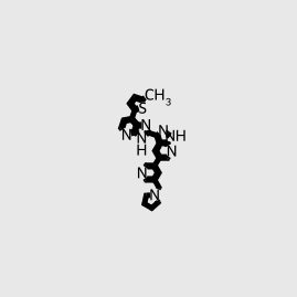 Cc1ccc(-c2ccnc3[nH]c(-c4n[nH]c5ncc(-c6cncc(CN7CCCC7)c6)cc45)nc23)s1